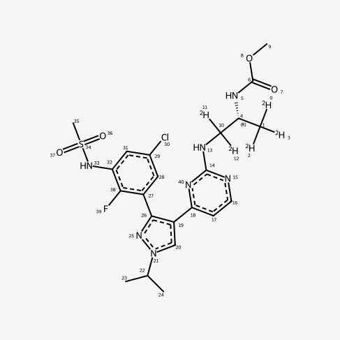 [2H]C([2H])([2H])[C@@H](NC(=O)OC)C([2H])([2H])Nc1nccc(-c2cn(C(C)C)nc2-c2cc(Cl)cc(NS(C)(=O)=O)c2F)n1